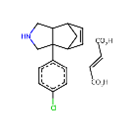 Clc1ccc(C23CNCC2C2C=CC3C2)cc1.O=C(O)C=CC(=O)O